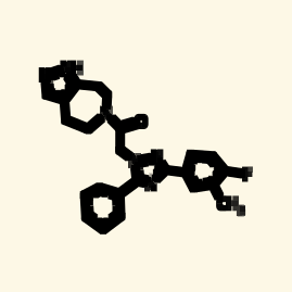 Cc1cc(-c2nc(-c3ccccc3)n(CC(=O)N3CCc4cn[nH]c4CC3)n2)ccc1F